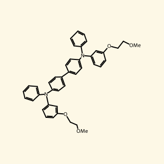 COCCOc1cccc(N(c2ccccc2)c2ccc(-c3ccc(N(c4ccccc4)c4cccc(OCCOC)c4)cc3)cc2)c1